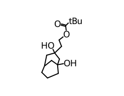 CC(C)(C)C(=O)OCCC1(O)CC2CCCC(O)(C2)C1